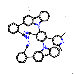 Cc1cc(-c2cc(-n3c4ccccc4c4ccc(-c5ccccc5C#N)cc43)c(C#N)cc2-n2c3ccccc3c3ccc(-c4ccccc4C#N)cc32)cc(C)n1